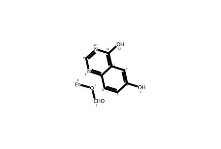 CCOC=O.Oc1ccc2ncnc(O)c2c1